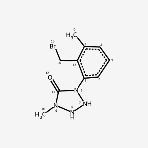 Cc1cccc(N2NNN(C)C2=O)c1CBr